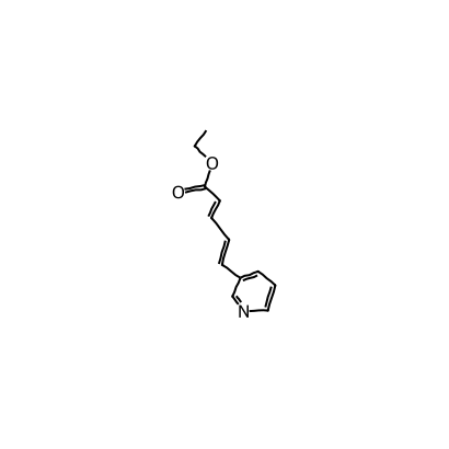 CCOC(=O)C=CC=Cc1cccnc1